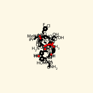 CN[C@H](CC(C)C)C(=O)N[C@H]1C(=O)N[C@@H](CC(N)=O)C(=O)N[C@H]2C(=O)N[C@H]3C(=O)N[C@H](C(=O)N[C@@H](C(=O)NNC(=O)C(N)=O)c4cc(O)cc(O)c4-c4cc3ccc4O)[C@H](O)c3ccc(c(Cl)c3)Oc3cc2cc(c3O[C@@H]2O[C@H](CO)[C@@H](O)[C@H](O)[C@H]2O[C@H]2C[C@](C)(NCCn3ccc(NC(=O)Cc4ccc(Cl)c(F)c4)nc3=O)[C@H](O)[C@H](C)O2)Oc2ccc(cc2Cl)[C@H]1O